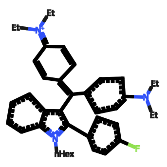 CCCCCCn1c(-c2ccc(F)cc2)c(C(=C2C=CC(=[N+](CC)CC)C=C2)c2ccc(N(CC)CC)cc2)c2ccccc21